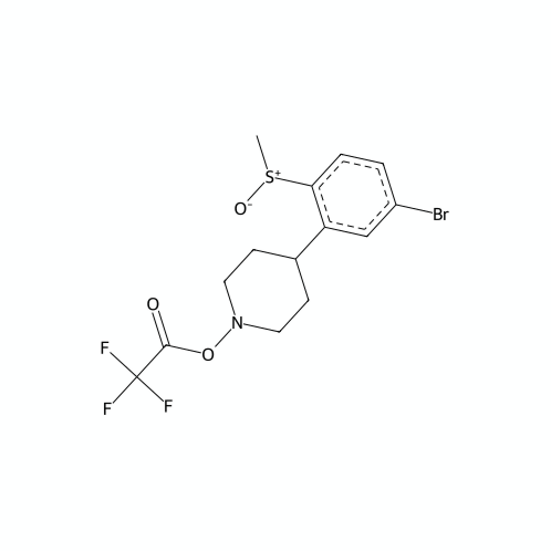 C[S+]([O-])c1ccc(Br)cc1C1CCN(OC(=O)C(F)(F)F)CC1